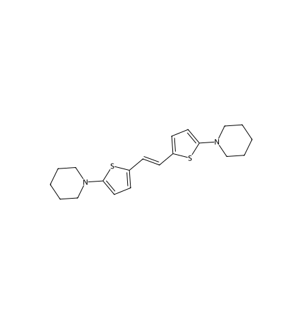 C(=C\c1ccc(N2CCCCC2)s1)/c1ccc(N2CCCCC2)s1